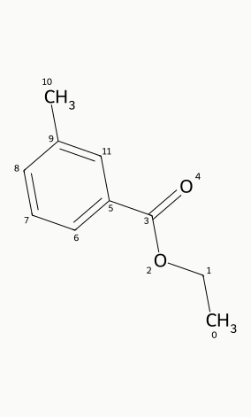 CCOC(=O)c1cccc(C)c1